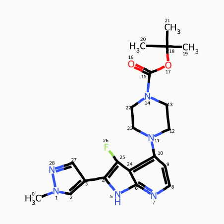 Cn1cc(-c2[nH]c3nccc(N4CCN(C(=O)OC(C)(C)C)CC4)c3c2F)cn1